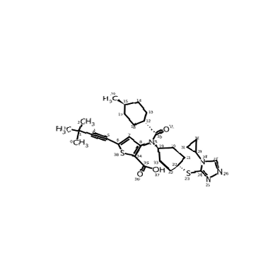 CC(C)(C)C#Cc1cc(N(C(=O)[C@H]2CC[C@H](C)CC2)[C@H]2CC[C@H](Sc3nncn3C3CC3)CC2)c(C(=O)O)s1